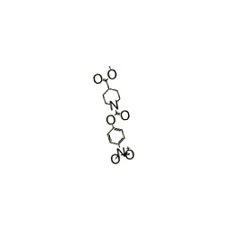 COC(=O)C1CCN(C(=O)Oc2ccc([N+](=O)[O-])cc2)CC1